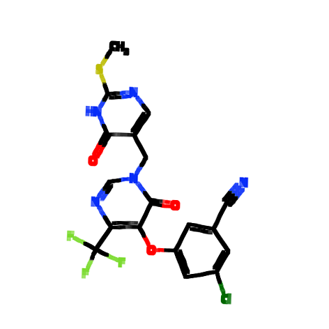 CSc1ncc(Cn2cnc(C(F)(F)F)c(Oc3cc(Cl)cc(C#N)c3)c2=O)c(=O)[nH]1